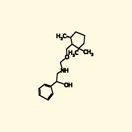 C[C@H]1CCCC(C)(C)C1COCNCC(O)c1ccccc1